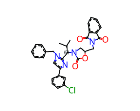 CC(C)[C@H](c1nc(-c2cccc(Cl)c2)cn1Cc1ccccc1)N1CC(CN2C(=O)c3ccccc3C2=O)OC1=O